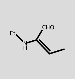 C/C=C(\[C]=O)NCC